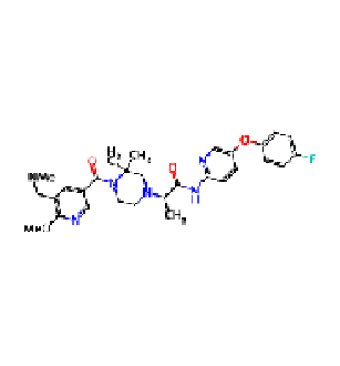 CNCc1cc(C(=O)N2CCN(C(C)C(=O)Nc3ccc(Oc4ccc(F)cc4)cn3)CC2(C)C)cnc1OC